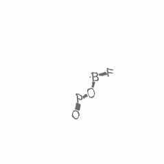 O=PO[B]F